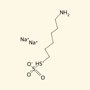 NCCCCCC[SH-]S(=O)(=O)[O-].[Na+].[Na+]